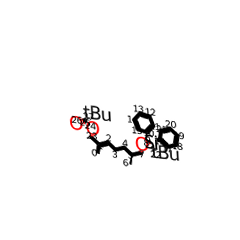 C/C(=C\CC[C@H](C)CO[Si](c1ccccc1)(c1ccccc1)C(C)(C)C)COC(=O)C(C)(C)C